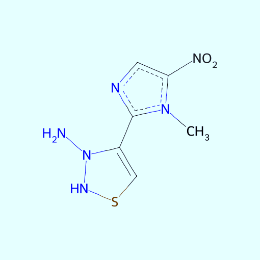 Cn1c([N+](=O)[O-])cnc1C1=CSNN1N